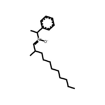 CCCCCCCCCC(C)C=[N+]([O-])C(C)c1ccccc1